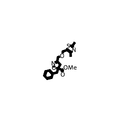 COC(=O)C1(Cc2ccccc2)CC(COCc2sc(C)nc2C)=NO1